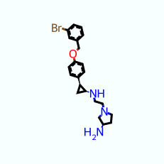 N[C@@H]1CCN(CCN[C@@H]2C[C@H]2c2ccc(OCc3cccc(Br)c3)cc2)C1